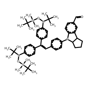 CC(C)(C)N(O[Si](C)(C)C(C)(C)C)c1ccc(C(=Cc2ccc(N3c4ccc(C=O)cc4C4CCCC43)cc2)c2ccc(N(O[Si](C)(C)C(C)(C)C)C(C)(C)C)cc2)cc1